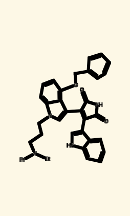 CCN(CC)CCCn1cc(C2=C(c3c[nH]c4ccccc34)C(=O)NC2=O)c2c(OCc3ccccc3)cccc21